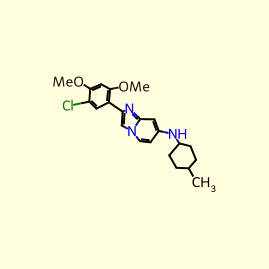 COc1cc(OC)c(-c2cn3ccc(NC4CCC(C)CC4)cc3n2)cc1Cl